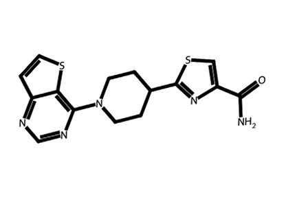 NC(=O)c1csc(C2CCN(c3ncnc4ccsc34)CC2)n1